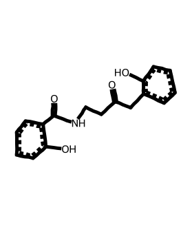 O=C(CCNC(=O)c1ccccc1O)Cc1ccccc1O